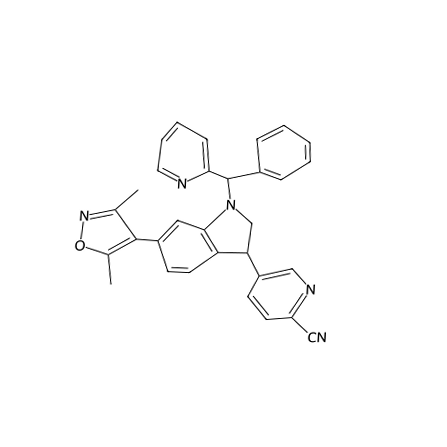 Cc1noc(C)c1-c1ccc2c(c1)N(C(c1ccccc1)c1ccccn1)CC2c1ccc(C#N)nc1